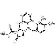 COc1ccc(COC2=CC(=O)N(C(=O)OC(C)(C)C)C2Cc2ccccc2)cc1OC(C)=O